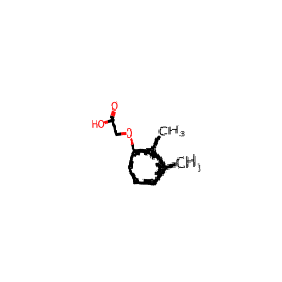 Cc1cccc(OCC(=O)O)c1C